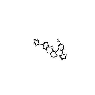 O=CN1C(c2cc(Cl)ccc2-n2nccn2)COC[C@H]1Cc1cccc(-c2ncon2)c1